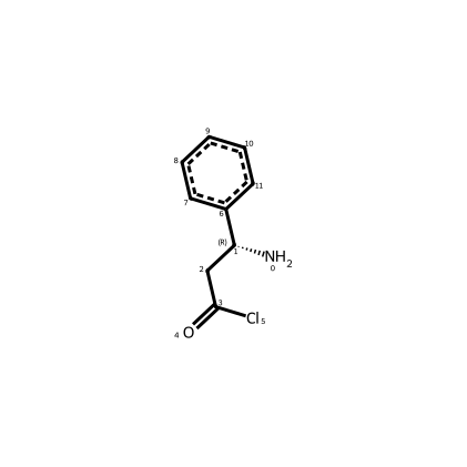 N[C@H](CC(=O)Cl)c1ccccc1